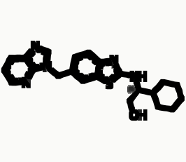 OC[C@@H](Nc1nc2ccc(Cn3cnc4cccnc43)cc2s1)C1CCCCC1